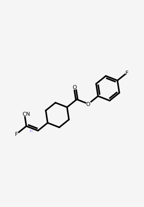 N#C/C(F)=C\C1CCC(C(=O)Oc2ccc(F)cc2)CC1